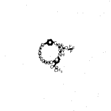 COC(=O)c1ccc2cc1OCCOCCOCCOc1ccc(cc1)CNc1nc(nc(OCC(F)(F)F)n1)N2